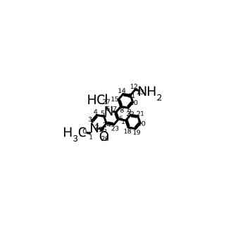 CCn1ccc2nc(-c3ccc(CN)cc3)c(-c3ccccc3)cc2c1=O.Cl